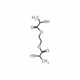 CC(S)C(=O)OCCOC(=O)C(C)S